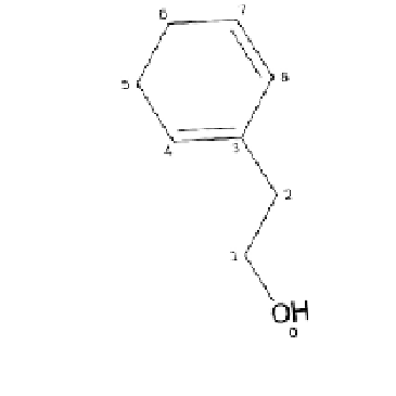 OCCC1=CCCC=C1